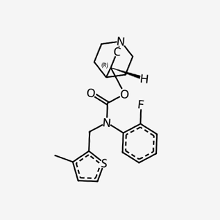 Cc1ccsc1CN(C(=O)O[C@H]1CN2CCC1CC2)c1ccccc1F